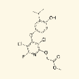 COC(=O)COc1nc(F)c(Cl)c(Oc2ccc(O)c(C(C)C)c2)c1Cl